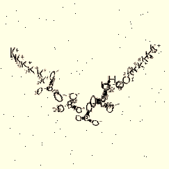 O.O.[K+].[K+].[K+].[K+].[K+].[K+].[K+].[K+].[K+].[K+].[K+].[K+].[O-]B([O-])[O-].[O-]B([O-])[O-].[O-]B([O-])[O-].[O-]B([O-])[O-]